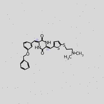 CN(C)CCSc1ccc(/C=c2\[nH]c(=O)/c(=C/c3cccc(OCc4ccccc4)c3)[nH]c2=O)s1